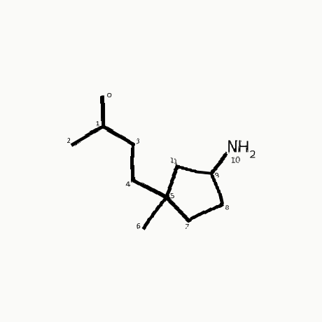 CC(C)CCC1(C)CCC(N)C1